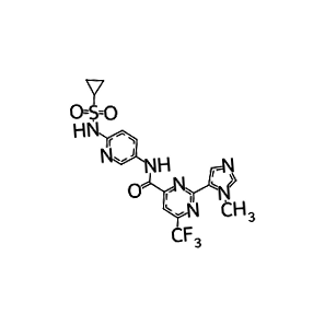 Cn1cncc1-c1nc(C(=O)Nc2ccc(NS(=O)(=O)C3CC3)nc2)cc(C(F)(F)F)n1